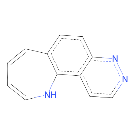 C1=CNc2c(ccc3nnccc23)C=C1